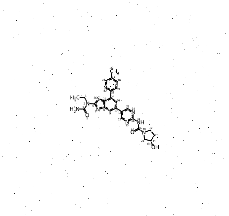 CCN(C(N)=O)c1nc2cc(-c3cnc(NC(=O)N4CC[C@@H](O)C4)nc3)cc(-c3ccc(C)cn3)c2s1